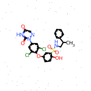 CC(CNS(=O)(=O)c1cc(Oc2c(Cl)cc(-n3ncc(=O)[nH]c3=O)cc2Cl)ccc1O)c1ccccc1